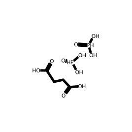 O=C(O)CCC(=O)O.O=[PH](O)O.O=[PH](O)O